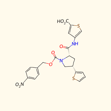 O=C(O)c1cc(NC(=O)[C@@H]2C[C@H](c3cccs3)CN2C(=O)OCc2ccc([N+](=O)[O-])cc2)cs1